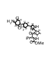 COC(=O)N[C@H](C(=O)N1CCCC1c1nc(-c2ccc(-c3cc(Cl)c(N)cc3C(F)(F)F)cc2)c[nH]1)C(C)C